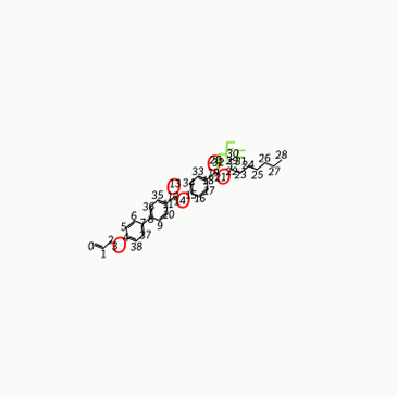 C=CCOc1ccc(-c2ccc(C(=O)Oc3ccc(C(=O)OC(CCCCCC)C(F)(F)F)cc3)cc2)cc1